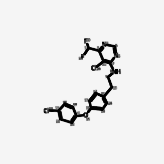 FC(F)c1ncnc(NCCc2ccc(Oc3ccc(Cl)cc3)cc2)c1Cl